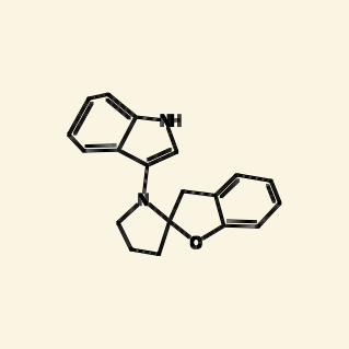 c1ccc2c(c1)CC1(CCCN1c1c[nH]c3ccccc13)O2